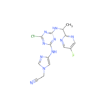 CC(Nc1nc(Cl)nc(Nc2cn(CC#N)cn2)n1)c1ncc(F)cn1